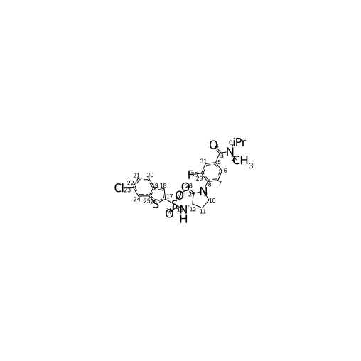 CC(C)N(C)C(=O)c1ccc(N2CC[C@H](NS(=O)(=O)c3cc4ccc(Cl)cc4s3)C2=O)c(F)c1